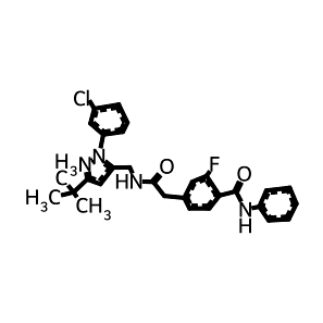 CC(C)(C)c1cc(CNC(=O)Cc2ccc(C(=O)Nc3ccccc3)c(F)c2)n(-c2cccc(Cl)c2)n1